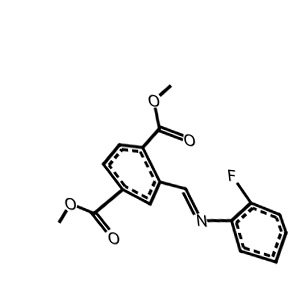 COC(=O)c1ccc(C(=O)OC)c(C=Nc2ccccc2F)c1